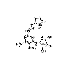 CC(=O)[C@H]1O[C@@H](n2cnc3c(N)nc(N/N=C/c4cccn4C)nc32)[C@H](O)[C@@H]1O